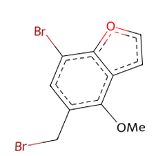 COc1c(CBr)cc(Br)c2occc12